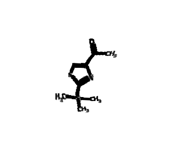 CC(=O)c1csc([Si](C)(C)C)n1